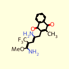 CO/C(N)=C(/C=C(\N)CC1=C(C)C(=O)c2ccccc2C1=O)C(F)(F)F